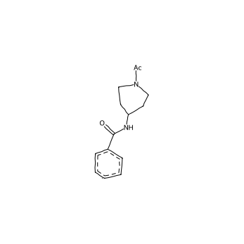 CC(=O)N1CCC(NC(=O)c2cc[c]cc2)CC1